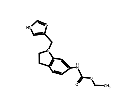 CCOC(=O)Nc1ccc2c(c1)N(Cc1c[nH]cn1)CC2